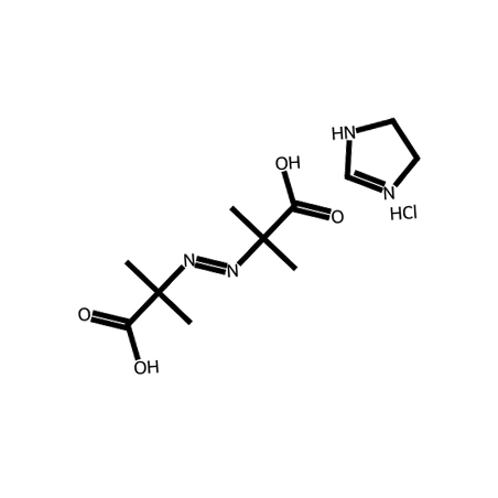 C1=NCCN1.CC(C)(N=NC(C)(C)C(=O)O)C(=O)O.Cl